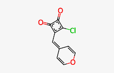 O=c1c(Cl)c(C=C2C=COC=C2)c1=O